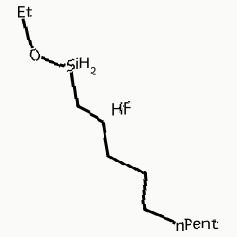 CCCCCCCCCC[SiH2]OCC.F